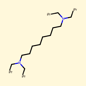 CC(C)CN(CCCCCCCCN(CC(C)C)CC(C)C)CC(C)C